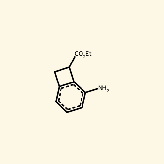 CCOC(=O)C1Cc2cccc(N)c21